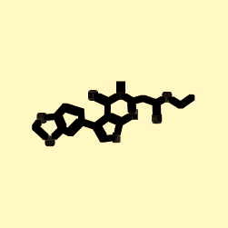 CCOC(=O)Cc1nc2scc(-c3ccc4c(c3)OCO4)c2c(=O)[nH]1